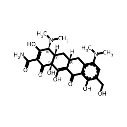 CN(C)c1cc(CO)c(O)c2c1C[C@H]1C[C@H]3[C@H](N(C)C)C(O)=C(C(N)=O)C(=O)[C@@]3(O)C(O)=C1C2=O